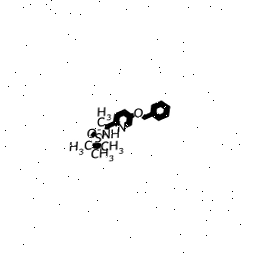 C[C@@H](N[S+]([O-])C(C)(C)C)c1ccc(OCc2ccccc2)cn1